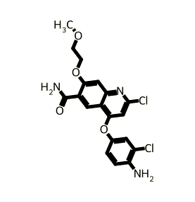 COCCOc1cc2nc(Cl)cc(Oc3ccc(N)c(Cl)c3)c2cc1C(N)=O